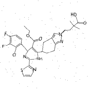 CCOC(=O)C1=C(C2CCc3nn(CCC(C)(C)C(=O)O)cc3C2)NC(c2nccs2)=NC1c1ccc(F)c(F)c1Cl